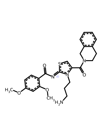 COc1ccc(C(=O)/N=c2\scc(C(=O)N3CCc4ccccc4C3)n2CCCN)c(OC)c1